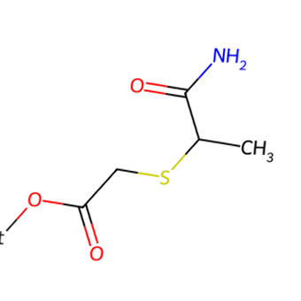 CCOC(=O)CSC(C)C(N)=O